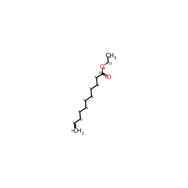 C=CCCCCCCCCC(=O)OCC